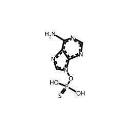 Nc1ncnc2c1ncn2OP(O)(O)=S